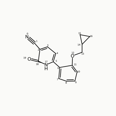 N#Cc1ccc(-c2ccccc2OCC2CC2)[nH]c1=O